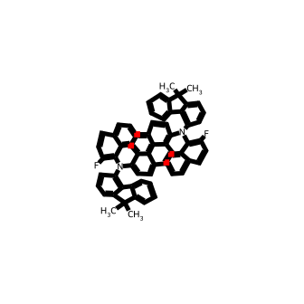 CC1(C)c2ccccc2-c2c(N(c3c(F)ccc4ccccc34)c3ccc4ccc5c(N(c6cccc7c6-c6ccccc6C7(C)C)c6c(F)ccc7ccccc67)ccc6ccc3c4c65)cccc21